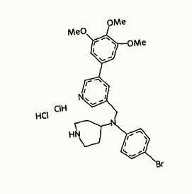 COc1cc(-c2cncc(CN(c3ccc(Br)cc3)C3CCNCC3)c2)cc(OC)c1OC.Cl.Cl